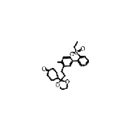 CCS(=O)(=O)c1ccccc1-c1ccc(C)c(CCC2(C3CCC(=O)CC3)OCCO2)c1